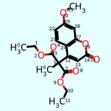 CCOC(=O)C(C)(C(=O)OCC)c1cc(=O)oc2cc(OC)ccc12